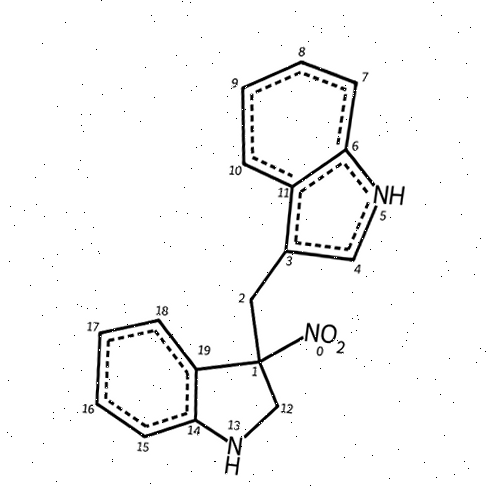 O=[N+]([O-])C1(Cc2c[nH]c3ccccc23)CNc2ccccc21